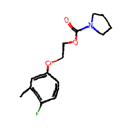 Cc1cc(OCCOC(=O)N2CCCC2)ccc1F